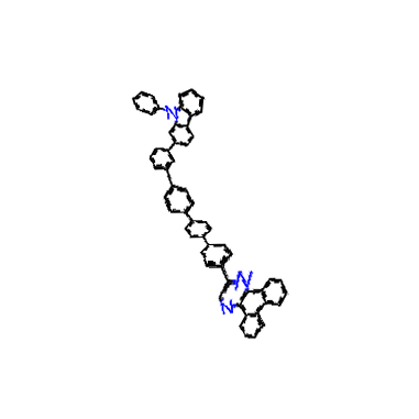 c1ccc(-n2c3ccccc3c3ccc(-c4cccc(-c5ccc(-c6ccc(-c7ccc(-c8cnc9c%10ccccc%10c%10ccccc%10c9n8)cc7)cc6)cc5)c4)cc32)cc1